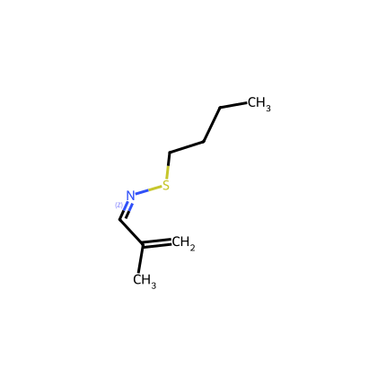 C=C(C)/C=N\SCCCC